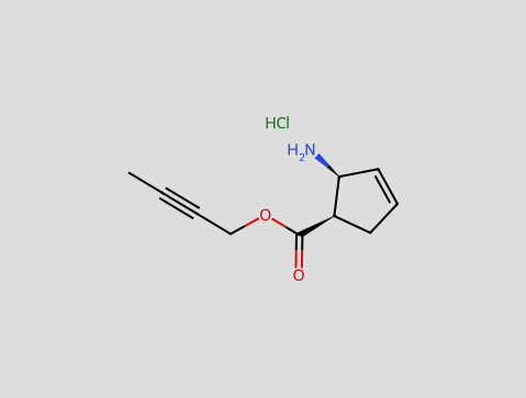 CC#CCOC(=O)[C@@H]1CC=C[C@@H]1N.Cl